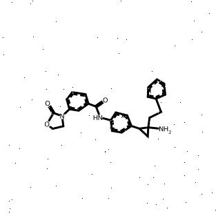 NC1(CCc2ccccc2)CC1c1ccc(NC(=O)c2cccc(N3CCOC3=O)c2)cc1